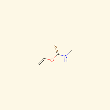 C=COC(=S)NC